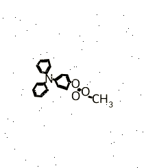 CCOC(=O)Oc1ccc(N(c2ccccc2)c2ccccc2)cc1